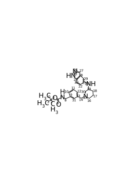 CC(C)(C)OC(=O)NCc1cccc(CN2CCCC(Nc3ccc4[nH]ncc4c3)C2)c1